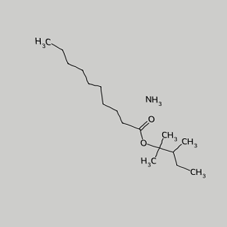 CCCCCCCCCC(=O)OC(C)(C)C(C)CC.N